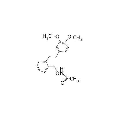 COc1ccc(CCc2ccccc2CONC(C)=O)cc1OC